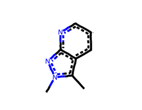 Cc1c2c[c]cnc2nn1C